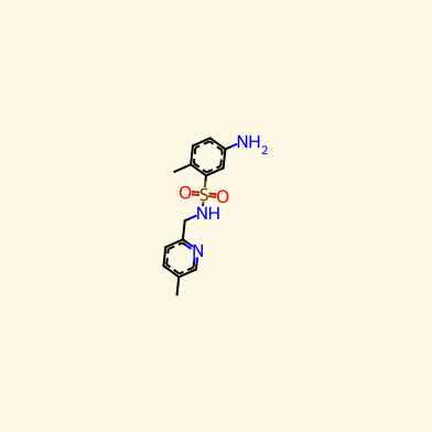 Cc1ccc(CNS(=O)(=O)c2cc(N)ccc2C)nc1